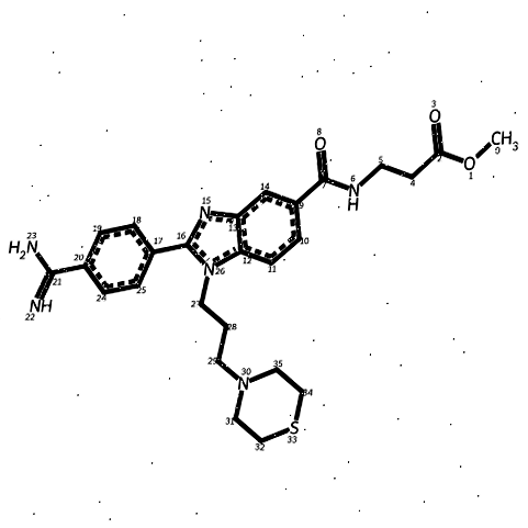 COC(=O)CCNC(=O)c1ccc2c(c1)nc(-c1ccc(C(=N)N)cc1)n2CCCN1CCSCC1